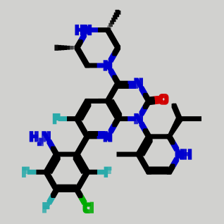 CC1=C(n2c(=O)nc(N3C[C@@H](C)N[C@@H](C)C3)c3cc(F)c(-c4c(N)c(F)c(F)c(Cl)c4F)nc32)[C@@H](C(C)C)NC=C1